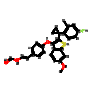 COc1ccc2c(Oc3ccc(/C=C/OC=O)cc3)c(C3(c4ccc(F)cc4C)CC3)sc2c1